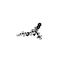 COC(=O)C(=O)NCCN(C(=O)[C@H](CC(=O)NC[C@@H]1CCCN(CNC(=O)OC=N)C1)NS(=O)(=O)c1ccc2ccccc2c1)C1CC1